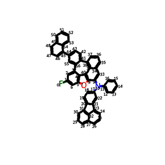 Fc1cc2c3c(c1)oc1c(N(c4ccccc4)c4ccc5c(c4)-c4cccc6cccc-5c46)cc4cccc(c4c13)-c1ccc(-c3cccc4ccccc34)cc1-2